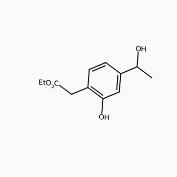 CCOC(=O)Cc1ccc(C(C)O)cc1O